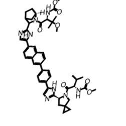 COC(=O)N[C@H](C(=O)N1CC2(CC2)C[C@H]1c1ncc(-c2ccc(-c3ccc4cc(-c5cnc(C6C7CC[C@H](C7)N6C(=O)[C@@H](NC(=O)OC)C(C)(C)OC)[nH]5)ccc4c3)cc2)[nH]1)C(C)C